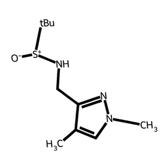 Cc1cn(C)nc1CN[S+]([O-])C(C)(C)C